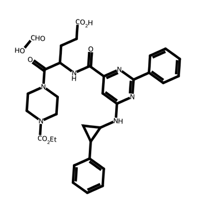 CCOC(=O)N1CCN(C(=O)C(CCC(=O)O)NC(=O)c2cc(NC3CC3c3ccccc3)nc(-c3ccccc3)n2)CC1.O=CO